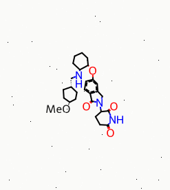 CO[C@H]1CC[C@@H](CN[C@H]2CCCC[C@H]2Oc2ccc3c(c2)CN(C2CCC(=O)NC2=O)C3=O)CC1